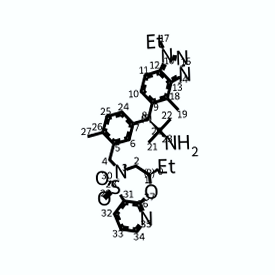 CC[C@@H]1CN(Cc2cc([C@@H](c3ccc4c(nnn4CC)c3C)C(C)(C)N)ccc2C)S(=O)(=O)c2cccnc2O1